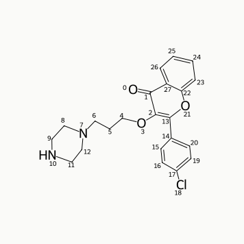 O=c1c(OCCCN2CCNCC2)c(-c2ccc(Cl)cc2)oc2ccccc12